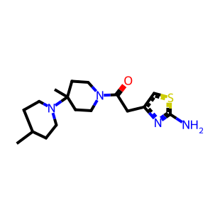 CC1CCN(C2(C)CCN(C(=O)Cc3csc(N)n3)CC2)CC1